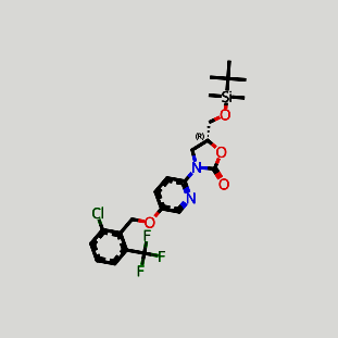 CC(C)(C)[Si](C)(C)OC[C@H]1CN(c2ccc(OCc3c(Cl)cccc3C(F)(F)F)cn2)C(=O)O1